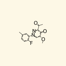 COc1cn(-c2cc(C)ccc2F)nc(C(C)=O)c1=O